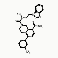 CC(C)(C)N(CCn1nnc2ccccc21)C(=O)N1CCC2=C(c3cccc(C(F)(F)F)c3)C=CC(C(N)=O)C2C1